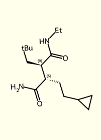 CCNC(=O)[C@H](CC(C)(C)C)[C@H](CCC1CC1)C(N)=O